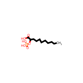 CCCCCCCCCC(OP(=O)(O)O)C(=O)O